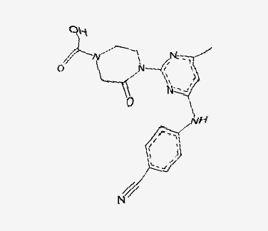 Cc1cc(Nc2ccc(C#N)cc2)nc(N2CCN(C(=O)O)CC2=O)n1